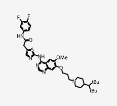 COc1cc2c(Nc3ncc(CC(=O)Nc4ccc(F)c(F)c4)s3)ncnc2cc1OCCCN1CCC(C(C(C)(C)C)C(C)(C)C)CC1